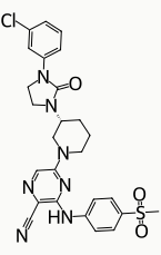 CS(=O)(=O)c1ccc(Nc2nc(N3CCC[C@@H](N4CCN(c5cccc(Cl)c5)C4=O)C3)cnc2C#N)cc1